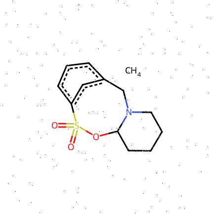 C.O=S1(=O)OC2CCCCN2Cc2cccc1c2